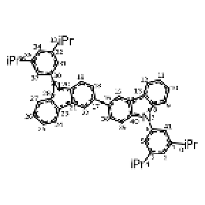 CC(C)c1cc(C(C)C)cc(-n2c3ccccc3c3cc(-c4ccc5c(c4)c4ccccc4n5-c4cc(C(C)C)cc(C(C)C)c4)ccc32)c1